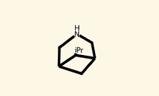 CC(C)C1C2CNCC1C2